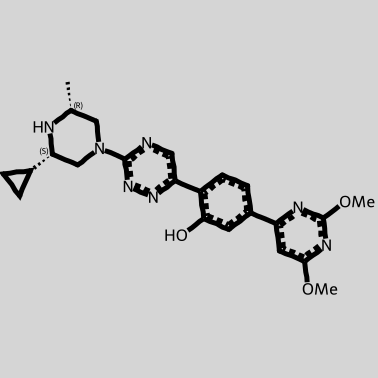 COc1cc(-c2ccc(-c3cnc(N4C[C@@H](C)N[C@@H](C5CC5)C4)nn3)c(O)c2)nc(OC)n1